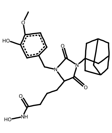 COc1ccc(CN2C(=O)N(C34CC5CC(CC(C5)C3)C4)C(=O)C2CCCC(=O)NO)cc1O